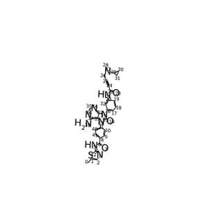 Cc1cnc(NC(=O)c2ccc(-n3c(=O)n(-c4cccc(NC(=O)C#CCN(C)C5CC5)c4)c4ncnc(N)c43)cc2)s1